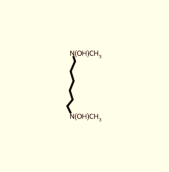 CN(O)CCCCCCN(C)O